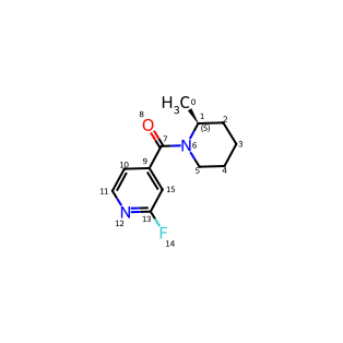 C[C@H]1CCCCN1C(=O)c1ccnc(F)c1